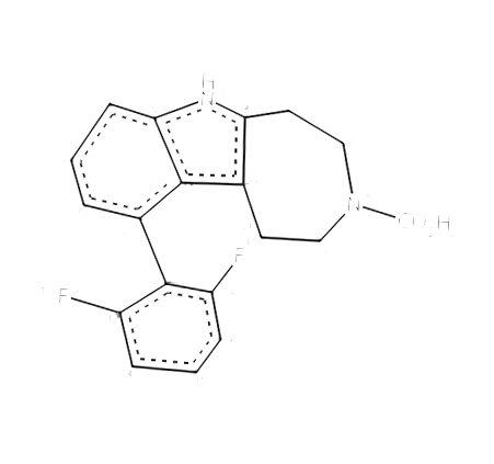 O=C(O)N1CCc2[nH]c3cccc(-c4c(F)cccc4F)c3c2CC1